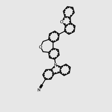 N#Cc1ccc2c(c1)c1ccccc1n2-c1ccc2c(c1)COCc1ccc(-c3cccc4c3oc3ccccc34)cc1-2